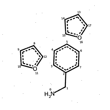 NCc1ccccc1.c1ccoc1.c1ccoc1